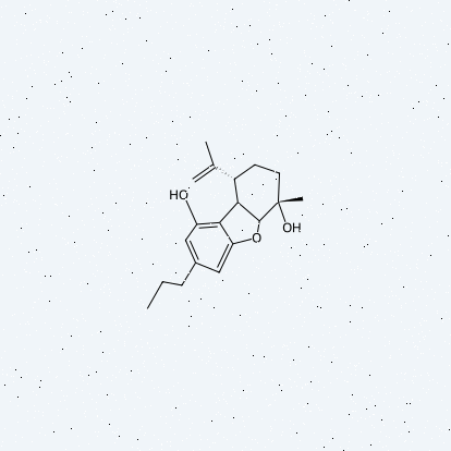 C=C(C)[C@@H]1CC[C@](C)(O)C2Oc3cc(CCC)cc(O)c3C21